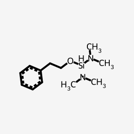 CN(C)[SiH](OCCc1ccccc1)N(C)C